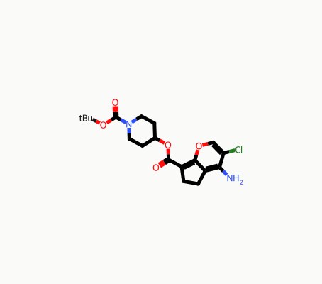 CC(C)(C)OC(=O)N1CCC(OC(=O)C2=C3OC=C(Cl)C(N)=C3CC2)CC1